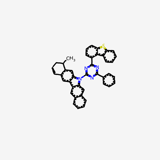 CC1CC=Cc2cc3c4cc5ccccc5cc4n(-c4nc(-c5ccccc5)nc(-c5cccc6sc7ccccc7c56)n4)c3cc21